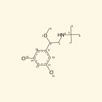 COC(CNC(C)(C)C)c1cc(Cl)cc(Cl)c1